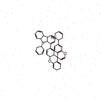 C1=CCC(N2C3C=CC=CC3C3C=CC=C(C4=CC5C(C=C4)OC4=CCCC=C4C54c5ccccc5Oc5cc(C6CC=CCN6)ccc54)C32)C=C1